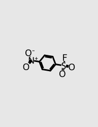 O=[N+]([O-])c1ccc(S(=O)(=O)F)cc1